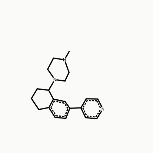 CN1CCN(C2CCCc3ccc(-c4ccncc4)cc32)CC1